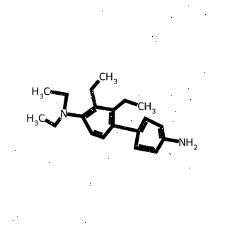 CCc1c(-c2ccc(N)cc2)ccc(N(CC)CC)c1CC